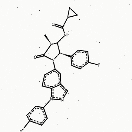 C[C@@H]1C(=O)N(c2ccc3c(cnn3-c3ccc(F)cc3)c2)[C@H](c2ccc(F)cc2)C1NC(=O)C1CC1